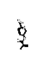 C=C(C)C(=O)Oc1ccc(O)nc1